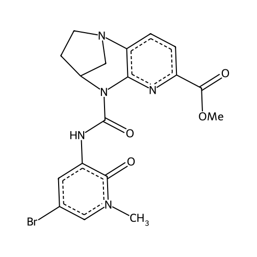 COC(=O)c1ccc2c(n1)N(C(=O)Nc1cc(Br)cn(C)c1=O)C1CCN2C1